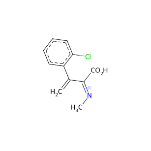 C=C(/C(=N\C)C(=O)O)c1ccccc1Cl